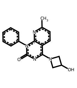 Cc1ccc2c(N3CC(O)C3)nc(=O)n(-c3ccccc3)c2n1